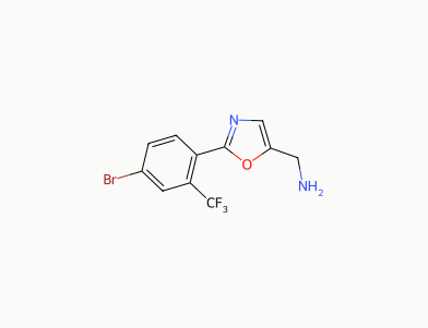 NCc1cnc(-c2ccc(Br)cc2C(F)(F)F)o1